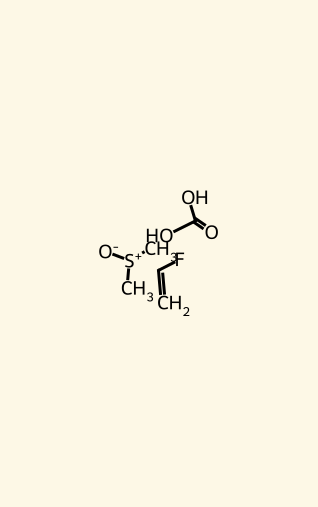 C=CF.C[S+](C)[O-].O=C(O)O